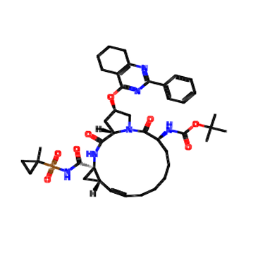 CC(C)(C)OC(=O)N[C@H]1CCCCC/C=C\[C@@H]2C[C@@]2(C(=O)NS(=O)(=O)C2(C)CC2)NC(=O)[C@@H]2C[C@@H](Oc3nc(-c4ccccc4)nc4c3CCCC4)CN2C1=O